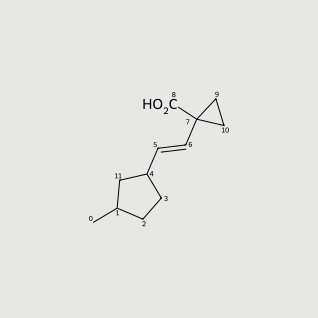 CC1CCC(/C=C/C2(C(=O)O)CC2)C1